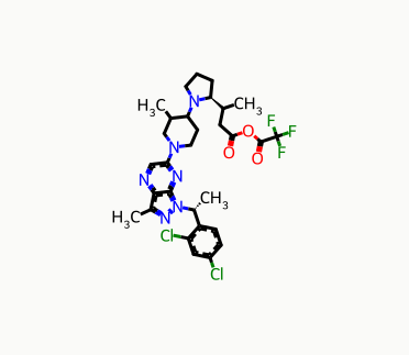 Cc1nn([C@H](C)c2ccc(Cl)cc2Cl)c2nc(N3CCC(N4CCC[C@H]4C(C)CC(=O)OC(=O)C(F)(F)F)C(C)C3)cnc12